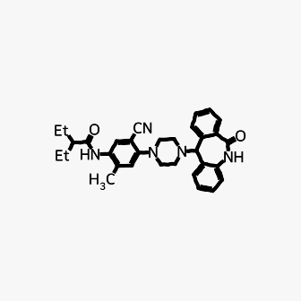 CCC(CC)C(=O)Nc1cc(C#N)c(N2CCN(C3c4ccccc4NC(=O)c4ccccc43)CC2)cc1C